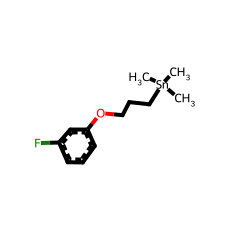 [CH3][Sn]([CH3])([CH3])[CH2]CCOc1cccc(F)c1